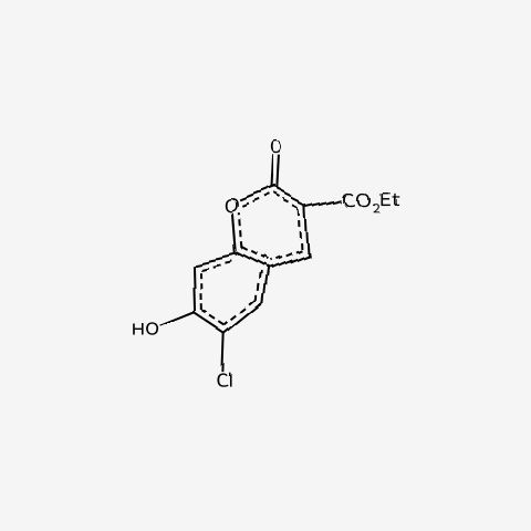 CCOC(=O)c1cc2cc(Cl)c(O)cc2oc1=O